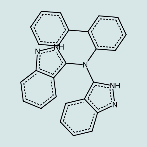 c1ccc(-c2ccccc2N(c2[nH]nc3ccccc23)c2[nH]nc3ccccc23)cc1